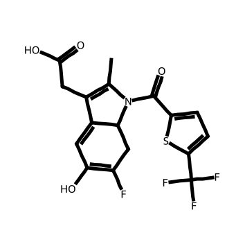 CC1=C(CC(=O)O)C2=CC(O)=C(F)CC2N1C(=O)c1ccc(C(F)(F)F)s1